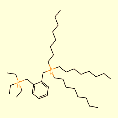 CCCCCCCC[PH](CCCCCCCC)(CCCCCCCC)Cc1ccccc1C[PH](CC)(CC)CC